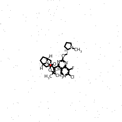 CN1CCC[C@H]1COc1nc(C(=O)N2C[C@@H]3CC[C@@H](C2)N3C(=O)OC(C)(C)C)c2cnc(Cl)c(F)c2n1